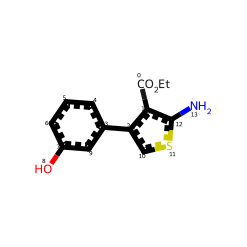 CCOC(=O)c1c(-c2cccc(O)c2)csc1N